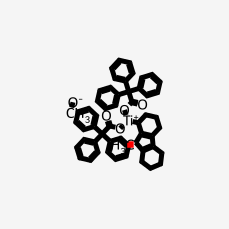 CC1C2=C(CCCC2)C2=C1[CH]([Ti+]([O]C(=O)C(c1ccccc1)(c1ccccc1)c1ccccc1)[O]C(=O)C(c1ccccc1)(c1ccccc1)c1ccccc1)CCC2.C[O-]